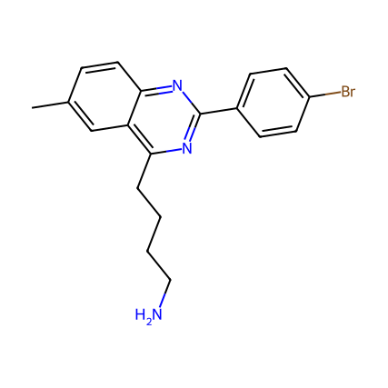 Cc1ccc2nc(-c3ccc(Br)cc3)nc(CCCCN)c2c1